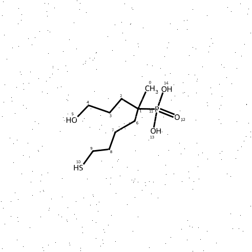 CC(CCCO)(CCCCS)P(=O)(O)O